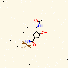 CC(=O)NC[C@H]1CC(C(=O)NS(=S)(=S)S)C[C@@H]1O